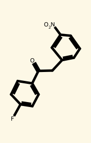 O=C(Cc1cccc([N+](=O)[O-])c1)c1ccc(F)cc1